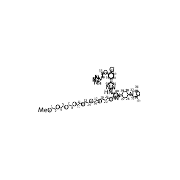 COCCOCCOCCOCCOCCOCCOCCCOc1nn([C@H]2CC[C@H](N3C[C@@H](C)O[C@@H](C)C3)CC2)cc1Nc1ncc(-c2ccc(Cl)c(O[C@@H](C)Cn3cnnn3)c2)cn1